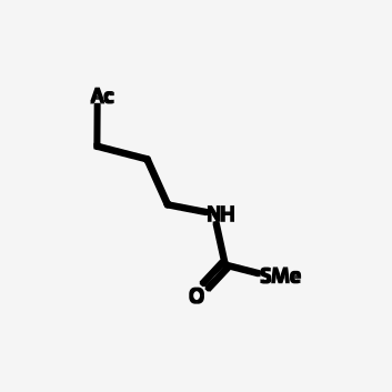 CSC(=O)NCCCC(C)=O